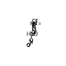 C[C@@H]1CN(c2cnc(C(F)(F)F)nc2)C[C@@H](C)N1C(=O)NCCC1CCN(Cc2ccccc2)CC1